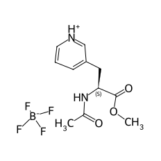 COC(=O)[C@H](Cc1ccc[nH+]c1)NC(C)=O.F[B-](F)(F)F